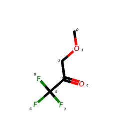 COCC(=O)C(F)(F)F